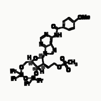 COc1ccc(C(=O)Nc2ncnc3c2ncn3[C@@H]2O[C@@H]3CO[Si](C(C)C)(C(C)C)O[Si](C(C)C)(C(C)C)O[C@H]3[C@@H]2CCOS(C)(=O)=O)cc1